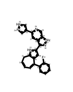 Fc1ccccc1C1=CC=CCc2[nH]c(-c3n[nH]c4cnc(-c5cn[nH]c5)cc34)cc21